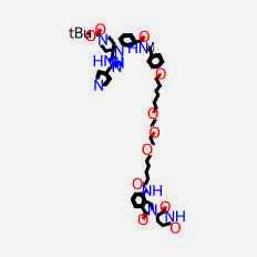 C[C@H](NC(=O)c1cccc(NC2(c3nnc(-c4ccncc4)[nH]3)CCN(C(=O)OC(C)(C)C)CC2)c1)c1ccc(OCCCCCCOCCOCCOCCCCCC(=O)Nc2cccc3c2CN(C2CCC(=O)NC2=O)C3=O)cc1